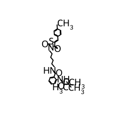 CCc1ccc(/C=C2\SC(=O)N(CCCCCCNC(=O)c3ccccc3NC(=O)OC(C)(C)C)C2=O)cc1